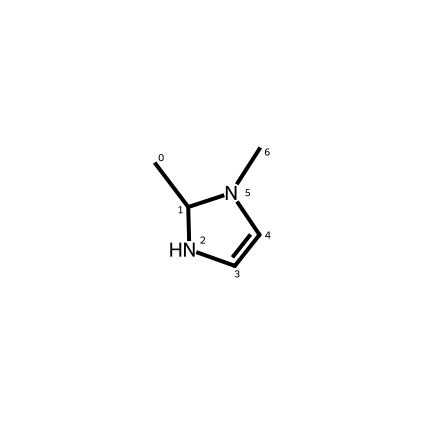 CC1NC=CN1C